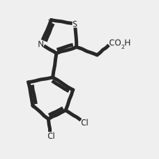 O=C(O)Cc1s[c]nc1-c1ccc(Cl)c(Cl)c1